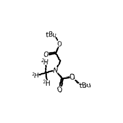 [2H]C([2H])([2H])N(CC(=O)OC(C)(C)C)C(=O)OC(C)(C)C